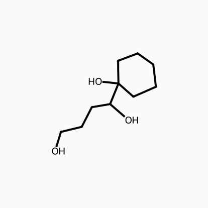 OCCCC(O)C1(O)CCCCC1